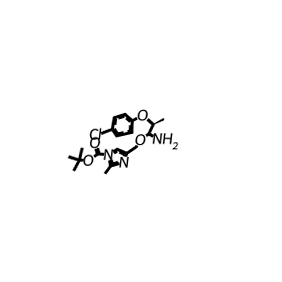 Cc1nc(COC(N)[C@H](C)Oc2ccc(Cl)cc2)cn1C(=O)OC(C)(C)C